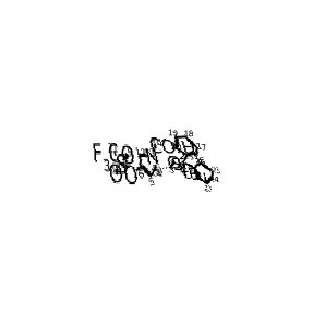 CC(C)(C)[Si](OC[C@@H]1C=C(OS(=O)(=O)C(F)(F)F)CN1C(=O)O)(c1ccccc1)c1ccccc1